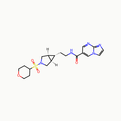 O=C(NCC[C@@H]1[C@H]2CN(S(=O)(=O)C3CCOCC3)C[C@@H]12)c1cnc2nccn2c1